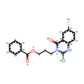 O=C(OCCCn1c(Cl)nc2ccc(F)cc2c1=O)c1ccccc1